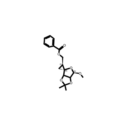 CO[C@@H]1O[C@@]2(C[C@H]2COC(=O)c2ccccc2)C2OC(C)(C)OC21